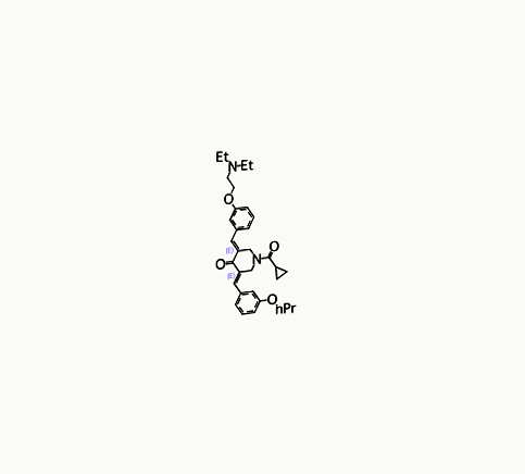 CCCOc1cccc(/C=C2\CN(C(=O)C3CC3)C/C(=C\c3cccc(OCCN(CC)CC)c3)C2=O)c1